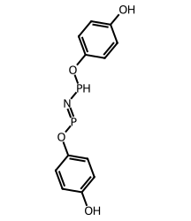 Oc1ccc(OP=NPOc2ccc(O)cc2)cc1